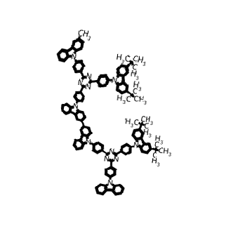 Cc1ccc2c(c1)c1ccccc1n2-c1ccc(-c2nc(-c3ccc(-n4c5ccccc5c5cc(-c6ccc7c(c6)c6ccccc6n7-c6ccc(-c7nc(-c8ccc(-n9c%10ccccc%10c%10ccccc%109)cc8)nc(-c8ccc(-n9c%10ccc(C(C)(C)C)cc%10c%10cc(C(C)(C)C)ccc%109)cc8)n7)cc6)ccc54)cc3)nc(-c3ccc(-n4c5ccc(C(C)(C)C)cc5c5cc(C(C)(C)C)ccc54)cc3)n2)cc1